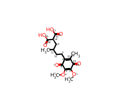 COC1=C(OC)C(=O)C(CCC(C)CC(C(=O)O)C(=O)O)=C(C)C1=O